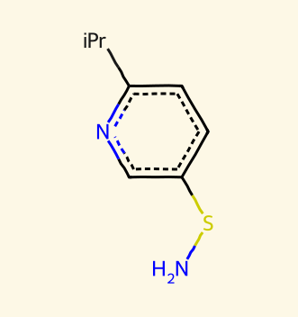 CC(C)c1ccc(SN)cn1